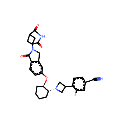 N#Cc1ccc(C2CN([C@@H]3CCCC[C@H]3Oc3ccc4c(c3)CN(C35CC(C3)C(=O)NC5=O)C4=O)C2)c(F)c1